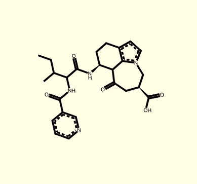 CCC(C)C(NC(=O)c1cccnc1)C(=O)N[C@H]1CCc2ccn3c2C1C(=O)C[C@H](C(=O)O)C3